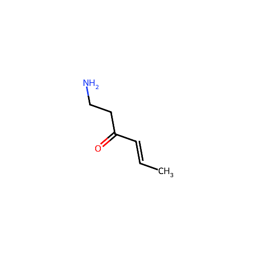 CC=CC(=O)CCN